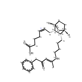 CC(=CC(=O)Cc1ccccc1)NCCCC[C@@H]1[C@H](C/C=C\CCCC(=O)O)[C@@H]2CC[C@H]1O2